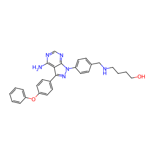 Nc1ncnc2c1c(-c1ccc(Oc3ccccc3)cc1)nn2-c1ccc(CNCCCCO)cc1